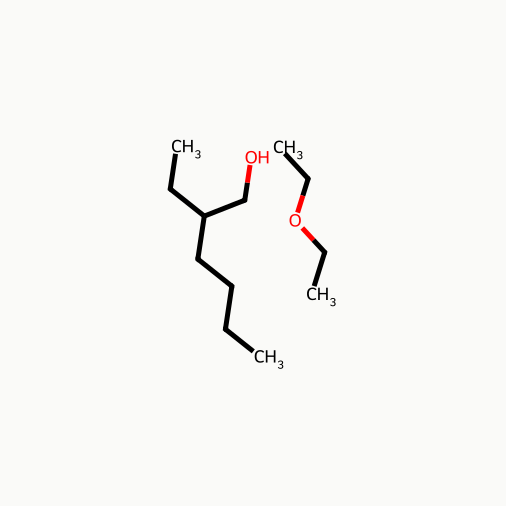 CCCCC(CC)CO.CCOCC